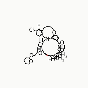 C[C@@H]1[C@@H](C)S(=O)(=O)NC(=O)c2ccc3c(c2)N(Cc2ccc(Cl)c(F)c2CCCCO3)C[C@@H]2CC[C@H]2[C@@H](OCCOC2CCCCO2)C2=C[C@H]1C2